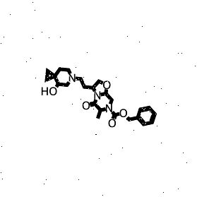 CC1C(=O)N2C(CCN3CCC4(CC4)C(O)C3)COC2CN1C(=O)OCc1ccccc1